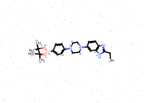 CC(C)Cc1nc2ccc(N3CCN(c4ccc(B5OC(C)(C)C(C)(C)O5)cc4)CC3)cc2[nH]1